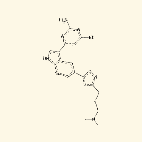 CCc1cc(-c2c[nH]c3ncc(-c4cnn(CCCN(C)C)c4)cc23)nc(N)n1